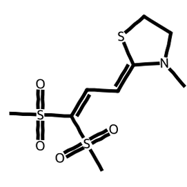 CN1CCSC1=CC=C(S(C)(=O)=O)S(C)(=O)=O